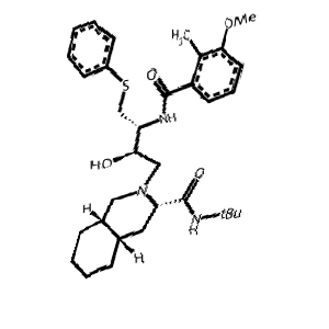 COc1cccc(C(=O)N[C@@H](CSc2ccccc2)[C@H](O)CN2C[C@H]3CCCC[C@H]3C[C@H]2C(=O)NC(C)(C)C)c1C